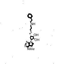 CNc1ncnc2c1ccn2[C@@H]1C[C@H](CSCCCNCCc2ccccc2)[C@@H](O)[C@H]1O